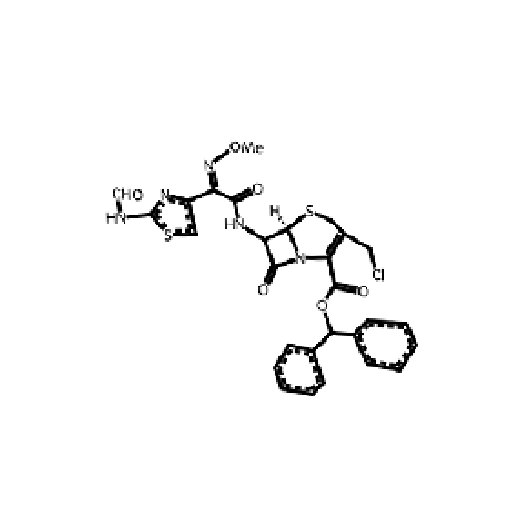 CO/N=C(\C(=O)NC1C(=O)N2C(C(=O)OC(c3ccccc3)c3ccccc3)=C(CCl)CS[C@H]12)c1csc(NC=O)n1